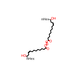 CCCCCC[C@@H](O)C/C=C\CCCCCCCC(=O)OOOC(=O)CCCCCCC/C=C\C[C@H](O)CCCCCC